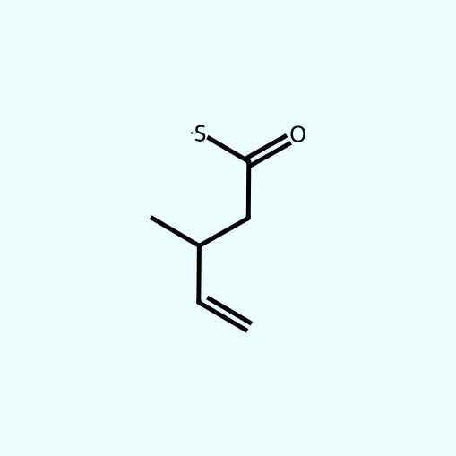 C=CC(C)CC(=O)[S]